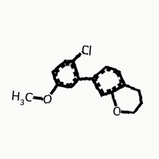 COc1ccc(Cl)c(-c2ccc3c(c2)OCCC3)c1